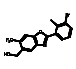 Cc1c(Br)cccc1-c1nc2cc(CO)c(C(F)(F)F)cc2o1